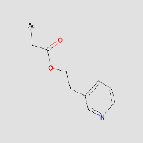 CC(=O)CC(=O)OCCc1cccnc1